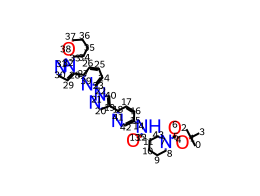 CC(C)(C)OC(=O)N1CCC[C@H](C(=O)Nc2ccc(-c3cnn(-c4cccc(-c5ccnn5C5CCCCO5)n4)c3)nc2)C1